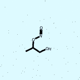 CC(CO)ON=O